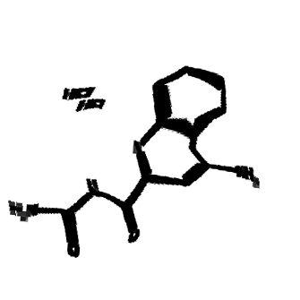 Cl.Cl.NC(=O)NC(=O)c1cc(N)c2ccccc2n1